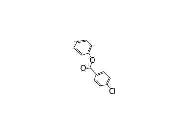 O=C(Oc1cc[c]cc1)c1ccc(Cl)cc1